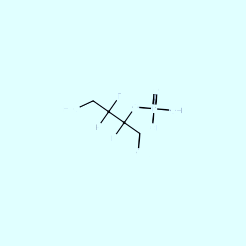 CCC(F)(F)C(F)(CC)OP(=O)(O)O